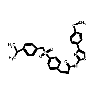 COc1ccc(-c2csc(NC(=O)/C=C\c3ccc(S(=O)(=O)Cc4ccc(C(C)C)cc4)cc3)n2)cc1